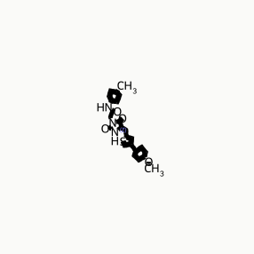 COc1ccc(-c2csc(/C=C3\NC(=O)N(CC(=O)Nc4ccc(C)cc4)C3=O)c2)cc1